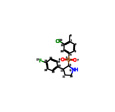 Cc1ccc(S(=O)(=O)C2NCCC2c2ccc(F)cc2)cc1Cl